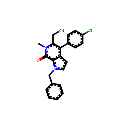 Cn1c(CC#N)c(-c2ccc(Cl)cc2)c2ccn(Cc3ccccc3)c2c1=O